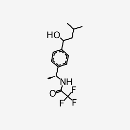 CC(C)CC(O)c1ccc([C@H](C)NC(=O)C(F)(F)F)cc1